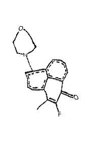 CC1=C(F)C(=O)c2cccc3c(N4CCOCC4)ccc1c23